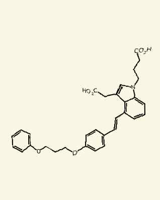 O=C(O)CCCn1cc(CC(=O)O)c2c(C=Cc3ccc(OCCCOc4ccccc4)cc3)cccc21